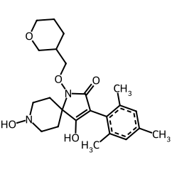 Cc1cc(C)c(C2=C(O)C3(CCN(O)CC3)N(OCC3CCCOC3)C2=O)c(C)c1